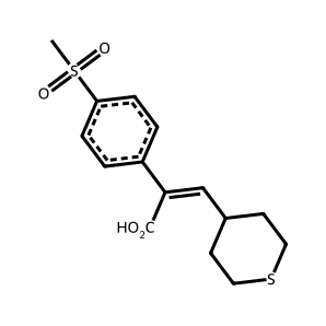 CS(=O)(=O)c1ccc(C(=CC2CCSCC2)C(=O)O)cc1